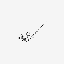 CCCCCCCCCCCCOCCc1c(C)ccc(OP(=O)(O)O)c1-c1ccccc1